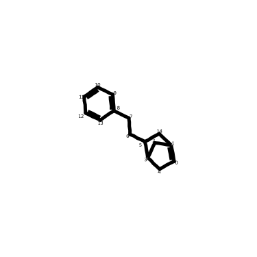 C1=C2CC(C1)C(CCc1ccccc1)C2